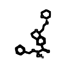 CN(OCc1ccccc1)C(=O)c1ccc2c(c1)CCOC2CCO[C@H]1CCCCO1